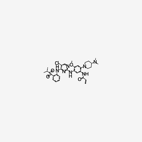 C=CC(=O)Nc1cc(Nc2ncc(Cl)c(Nc3ccccc3S(=O)(=O)C(C)C)n2)c(OC)cc1N1CCC(N(C)C)CC1